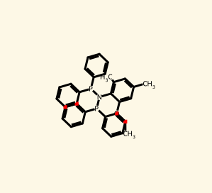 CCOc1cc(C)cc(C)c1N(P(c1ccccc1)c1ccccc1)P(c1ccccc1)c1ccccc1